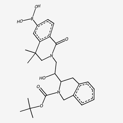 CC(C)(C)OC(=O)N1Cc2ccccc2CC1C(O)CN1CC(C)(C)c2cc(B(O)O)ccc2C1=O